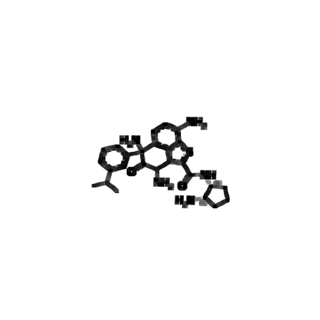 CC(C)c1cccc(C2(N)C(=O)C(N)c3c(C(=O)N[C@@H]4CCC[C@@H]4N)sc4c(N)ccc2c34)c1